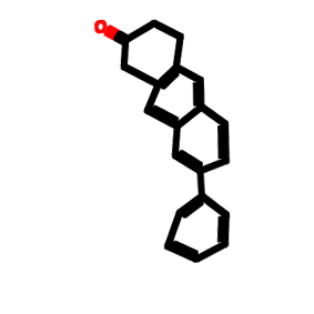 O=C1CCc2cc3ccc(-c4ccccc4)cc3cc2C1